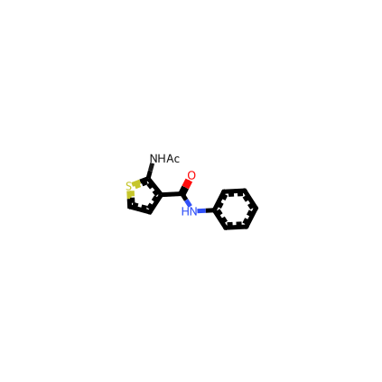 CC(=O)Nc1sccc1C(=O)Nc1ccccc1